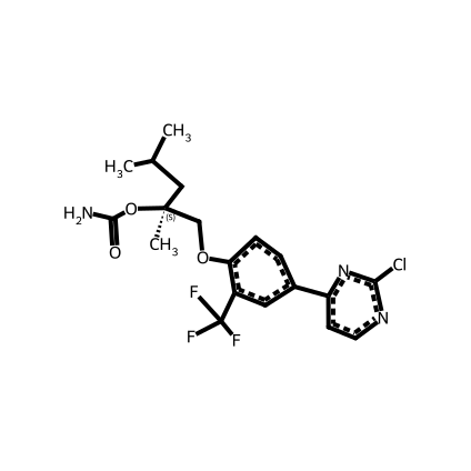 CC(C)C[C@@](C)(COc1ccc(-c2ccnc(Cl)n2)cc1C(F)(F)F)OC(N)=O